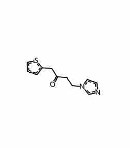 O=C(CCn1ccnc1)Cc1cccs1